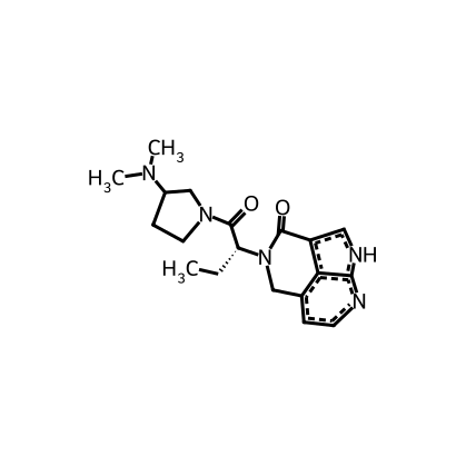 CC[C@H](C(=O)N1CCC(N(C)C)C1)N1Cc2ccnc3[nH]cc(c23)C1=O